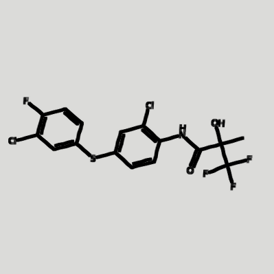 CC(O)(C(=O)Nc1ccc(Sc2ccc(F)c(Cl)c2)cc1Cl)C(F)(F)F